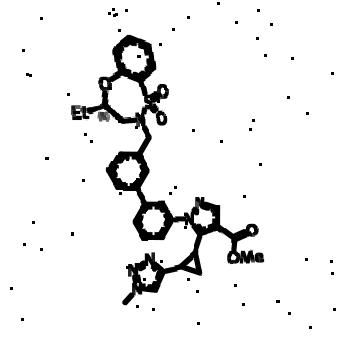 CC[C@@H]1CN(Cc2cccc(-c3cccc(-n4ncc(C(=O)OC)c4C4CC4c4cn(C)nn4)c3)c2)S(=O)(=O)c2ccccc2O1